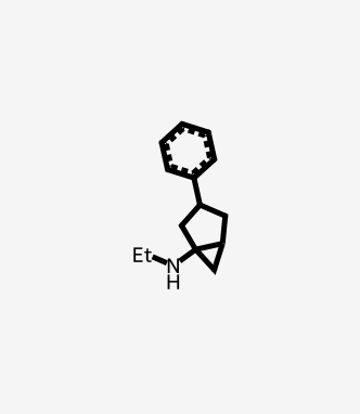 CCNC12CC(c3ccccc3)CC1C2